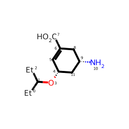 CCC(CC)O[C@@H]1C=C(C(=O)O)C[C@H](N)C1